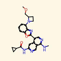 CNc1ncc(-c2nc3c(N4CCC4COC)cccc3o2)c2cc(NC(=O)C3CC3)ncc12